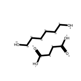 O=C(O)CCC(=O)O.OCCCCCCO